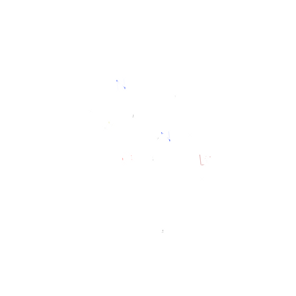 Cc1csc(C2CCCN2C(=O)c2ccccc2Br)n1